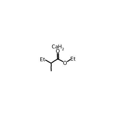 CCOC(=O)C(C)CC.[CaH2]